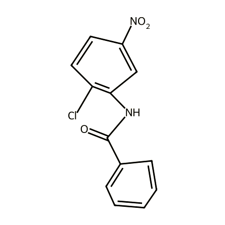 O=C(Nc1cc([N+](=O)[O-])ccc1Cl)c1ccccc1